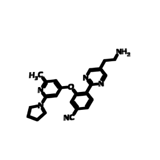 Cc1cc(Oc2cc(C#N)ccc2-c2ncc(CCN)cn2)cc(N2CCCC2)n1